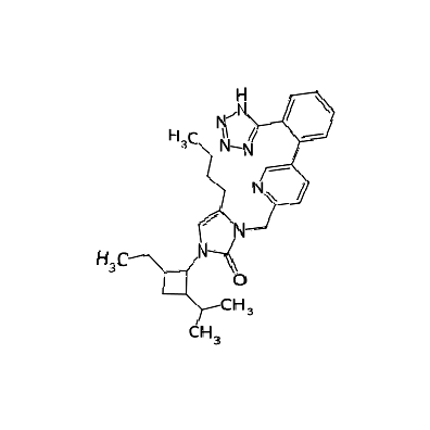 CCCCc1cn(C2C(CC)CC2C(C)C)c(=O)n1Cc1ccc(-c2ccccc2-c2nnn[nH]2)cn1